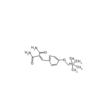 C[SH](C)(C)(C)COc1ccc(C=C(C(N)=O)C(N)=O)cc1